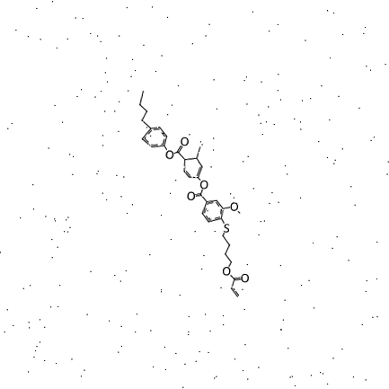 C=CC(=O)OCCCCSc1ccc(C(=O)OC2=CC(C)C(C(=O)Oc3ccc(CCCC)cc3)C=C2)cc1OC